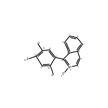 [CH2-][n+]1ccc2ccccc2c1-c1cc(C)c(F)cc1C